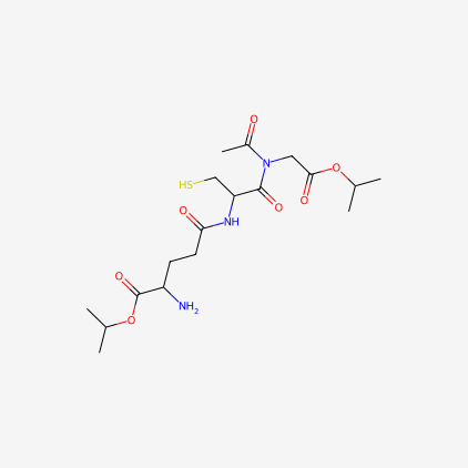 CC(=O)N(CC(=O)OC(C)C)C(=O)C(CS)NC(=O)CCC(N)C(=O)OC(C)C